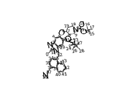 Cc1nc2cc(OC3CCN(C(=O)OC(C)(C)C)CC3)c(O[Si](C)(C)C(C)(C)C)cc2n1Cc1ccc(C#N)c2ccccc12